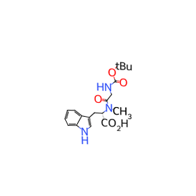 CN(C(=O)CNC(=O)OC(C)(C)C)[C@@H](Cc1c[nH]c2ccccc12)C(=O)O